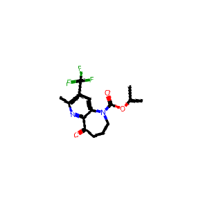 Cc1nc2c(cc1C(F)(F)F)N(C(=O)OC(C)C)CCCC2=O